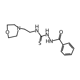 O=C(NNC(=S)NCCN1CCOCC1)c1ccccc1